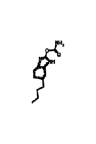 CCCCc1ccc2nc(OC(N)=O)[nH]c2c1